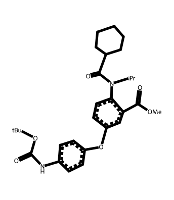 COC(=O)c1cc(Oc2ccc(NC(=O)OC(C)(C)C)cc2)ccc1N(C(=O)C1CCCCC1)C(C)C